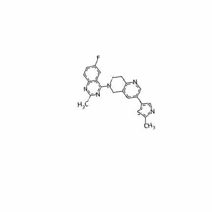 Cc1nc(N2CCc3ncc(-c4cnc(C)s4)cc3C2)c2cc(F)ccc2n1